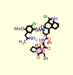 CC(C)C[C@H]1C(=O)N2CCC[C@H]2[C@]2(O)O[C@](NC(=O)[C@@H]3C=C4c5cccc6[nH]c(Br)c(c56)C[C@H]4N(C)C3)(C(C)C)C(=O)N12.COc1cc(CC(C)N)c(OC)cc1Br